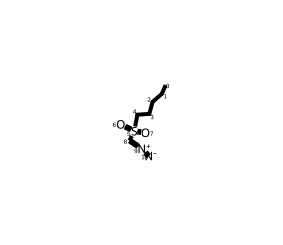 CCCCCS(=O)(=O)C=[N+]=[N-]